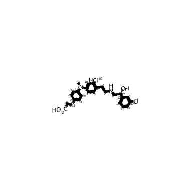 CN(c1ccc(CCNC[C@H](O)c2cccc(Cl)c2)cc1)c1ccc(OCC(=O)O)cc1.Cl